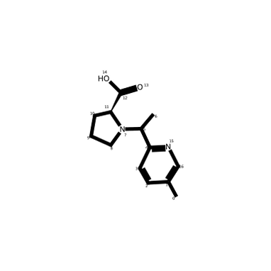 Cc1ccc(C(C)N2CCC[C@H]2C(=O)O)nc1